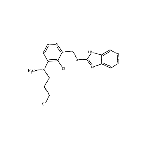 CN(CCCCl)c1ccnc(CSc2nc3ccccc3[nH]2)c1Cl